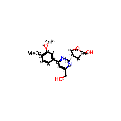 CCCOc1cc(-c2cc(CO)nc([C@@H]3COB(O)C3)n2)ccc1OC